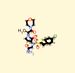 C[C@@H](C(=O)N1CCOCC1)N1CC[C@H](N(CC(N)=O)S(=O)(=O)c2cc3ccc(Cl)cc3s2)C1=O